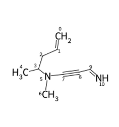 C=CCC(C)N(C)C#CC=N